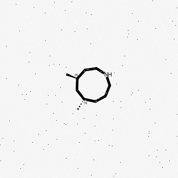 C[C@H]1CCCNCC[C@H](C)C1